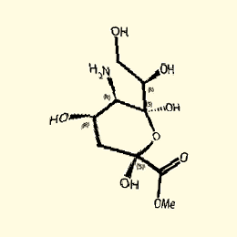 COC(=O)[C@]1(O)C[C@@H](O)[C@@H](N)[C@@](O)([C@H](O)CO)O1